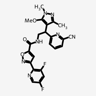 COc1c(C(CNC(=O)c2cc(-c3ncc(F)cc3F)no2)c2cccc(C#N)n2)c(C)nn1C